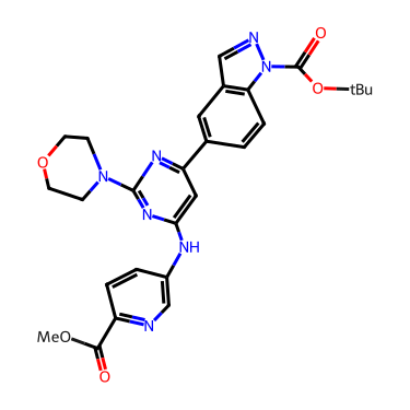 COC(=O)c1ccc(Nc2cc(-c3ccc4c(cnn4C(=O)OC(C)(C)C)c3)nc(N3CCOCC3)n2)cn1